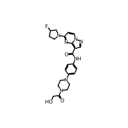 O=C(Nc1ccc(N2CCN(C(=O)CO)CC2)cc1)c1cnn2ccc(N3CCC(F)C3)nc12